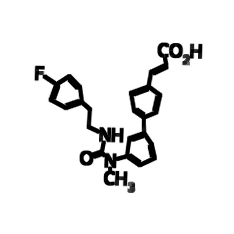 CN(C(=O)NCCc1ccc(F)cc1)c1cccc(-c2ccc(C=CC(=O)O)cc2)c1